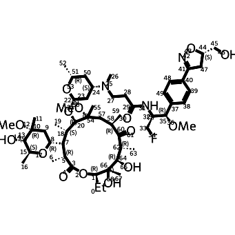 CC[C@H]1OC(=O)[C@H](C)C([C@H]2C[C@@](C)(OC)[C@@H](O)[C@H](C)O2)[C@H](C)[C@@H](O[C@H]2C[C@@H](N(C)CCC(=O)N[C@H](CF)[C@H](OC)c3ccc(C4=NO[C@H](CO)C4)cc3)C[C@@H](C)O2)[C@](C)(OC)C[C@@H](C)C(=O)[C@H](C)[C@@H](O)[C@]1(C)O